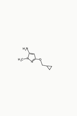 Cn1nc(OCC2CC2)cc1N